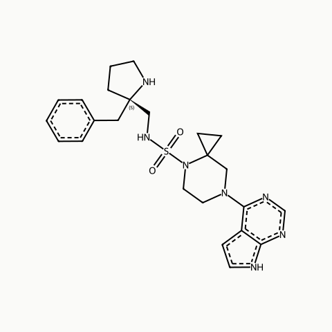 O=S(=O)(NC[C@@]1(Cc2ccccc2)CCCN1)N1CCN(c2ncnc3[nH]ccc23)CC12CC2